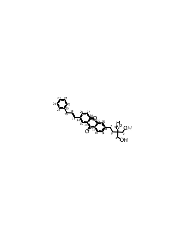 NC(CO)(CO)CCc1ccc2c(=O)c3cc(/C=C/Cc4ccccc4)ccc3oc2c1